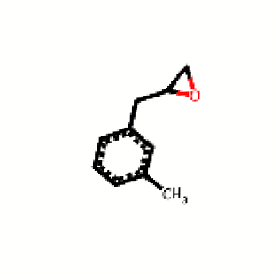 Cc1cccc(CC2CO2)c1